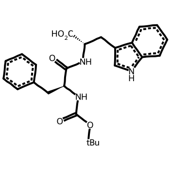 CC(C)(C)OC(=O)N[C@@H](Cc1ccccc1)C(=O)N[C@@H](Cc1c[nH]c2ccccc12)C(=O)O